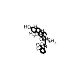 C[C@H](CCc1nc2cccc(F)c2c(=O)o1)[C@H]1CC[C@H]2[C@@H]3CC[C@@H]4C[C@H](O)CC[C@]4(C)C3C[C@H](O)[C@]12C